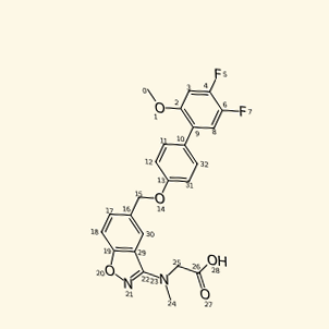 COc1cc(F)c(F)cc1-c1ccc(OCc2ccc3onc(N(C)CC(=O)O)c3c2)cc1